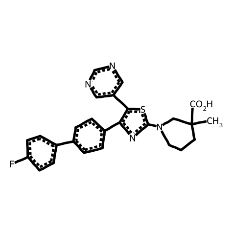 CC1(C(=O)O)CCCN(c2nc(-c3ccc(-c4ccc(F)cc4)cc3)c(-c3cncnc3)s2)C1